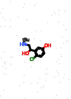 CC(C)(C)NCC(O)c1cc(O)ccc1Cl